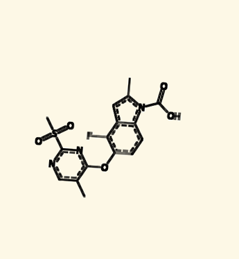 Cc1cnc(S(C)(=O)=O)nc1Oc1ccc2c(cc(C)n2C(=O)O)c1F